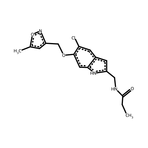 CCC(=O)NCc1cc2cc(Cl)c(OCc3cc(C)on3)cc2[nH]1